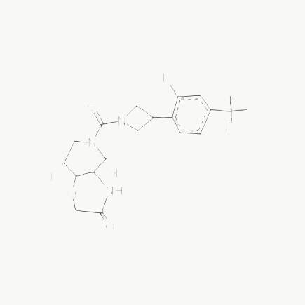 O=C1CO[C@H]2CCN(C(=O)N3CC(c4ccc(C(F)(F)F)cc4F)C3)C[C@H]2N1